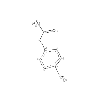 NC(=O)Cc1ccc(C(F)(F)F)cc1